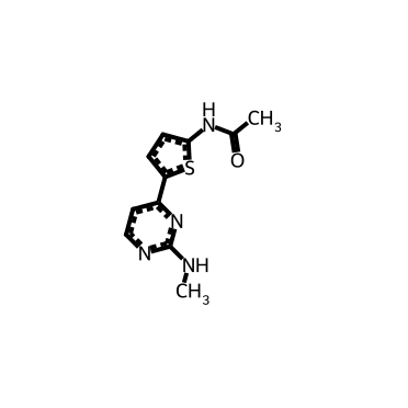 CNc1nccc(-c2ccc(NC(C)=O)s2)n1